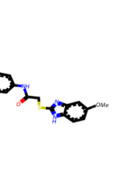 COc1ccc2[nH]c(SCC(=O)Nc3ccccc3)nc2c1